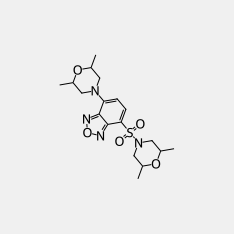 CC1CN(c2ccc(S(=O)(=O)N3CC(C)OC(C)C3)c3nonc23)CC(C)O1